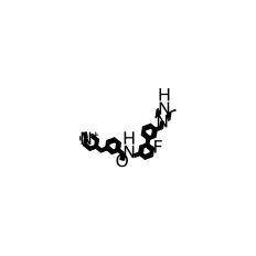 C[C@H]1CN(Cc2cccc(-c3cc(CNC(=O)c4cccc(CC5CC[N+](C)(C)CC5)c4)ccc3F)c2)CCN1